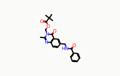 Cc1nc2ccc(CNC(=O)c3ccccc3)cc2c(=O)n1COC(=O)C(C)(C)C